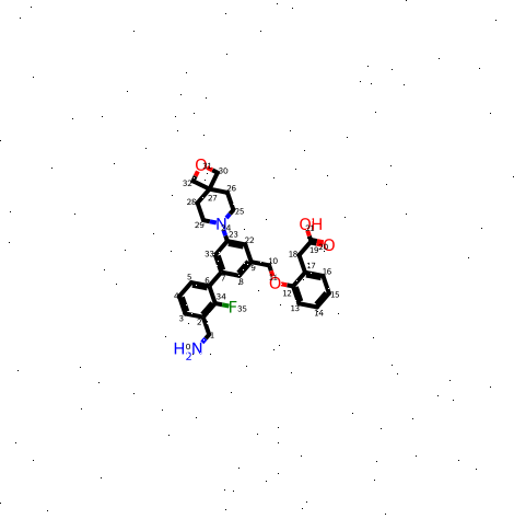 NCc1cccc(-c2cc(COc3ccccc3CC(=O)O)cc(N3CCC4(CC3)COC4)c2)c1F